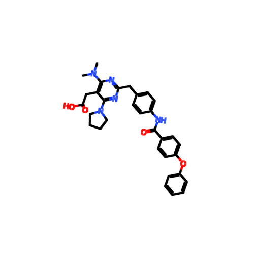 CN(C)c1nc(Cc2ccc(NC(=O)c3ccc(Oc4ccccc4)cc3)cc2)nc(N2CCCC2)c1CC(=O)O